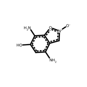 Nc1cc(O)c(N)c2o[n+]([O-])cc12